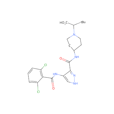 CC(C)(C)C(C(=O)O)N1CCC(NC(=O)c2n[nH]cc2NC(=O)c2c(Cl)cccc2Cl)CC1